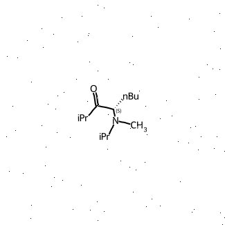 CCCC[C@@H](C(=O)C(C)C)N(C)C(C)C